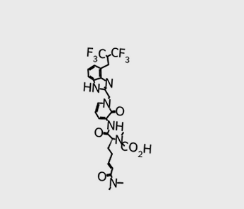 CN(C)C(=O)/C=C/CC[C@@H](C(=O)Nc1cccn(Cc2nc3c(CC(C(F)(F)F)C(F)(F)F)cccc3[nH]2)c1=O)N(C)C(=O)O